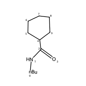 CCCCNC(=O)C1CCCCC1